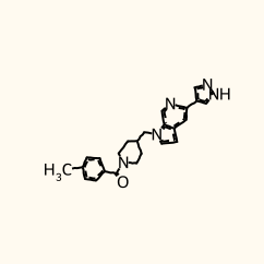 Cc1ccc(C(=O)N2CCC(Cn3ccc4cc(-c5cn[nH]c5)ncc43)CC2)cc1